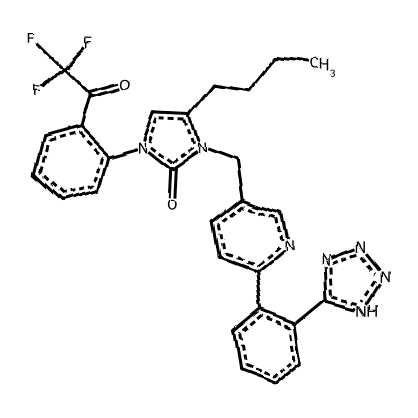 CCCCc1cn(-c2ccccc2C(=O)C(F)(F)F)c(=O)n1Cc1ccc(-c2ccccc2-c2nnn[nH]2)nc1